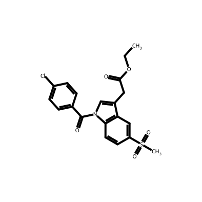 CCOC(=O)Cc1cn(C(=O)c2ccc(Cl)cc2)c2ccc(S(C)(=O)=O)cc12